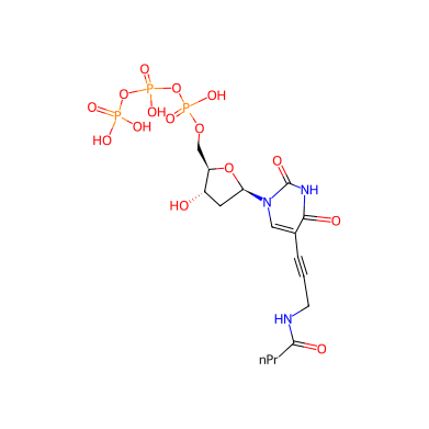 CCCC(=O)NCC#Cc1cn([C@H]2C[C@H](O)[C@@H](COP(=O)(O)OP(=O)(O)OP(=O)(O)O)O2)c(=O)[nH]c1=O